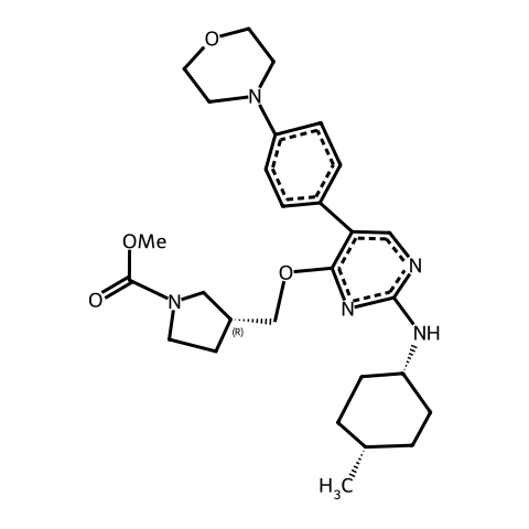 COC(=O)N1CC[C@@H](COc2nc(N[C@H]3CC[C@@H](C)CC3)ncc2-c2ccc(N3CCOCC3)cc2)C1